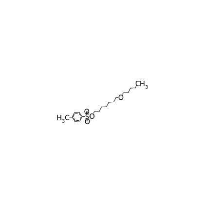 CCCCCOCCCCCCCOS(=O)(=O)c1ccc(C)cc1